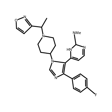 CNC1N=CC=C(c2c(-c3ccc(F)cc3)ncn2C2CCN(C(C)c3ccon3)CC2)N1